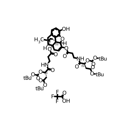 CN1CC[C@]23c4c5ccc(O)c4O[C@H]2C(OC(=O)CCNC(=O)[C@H](CC(=O)OC(C)(C)C)OC(=O)OC(C)(C)C)=CC[C@@]3(OC(=O)CCNC(=O)[C@H](CC(=O)OC(C)(C)C)OC(=O)OC(C)(C)C)[C@H]1C5.O=C(O)C(F)(F)F